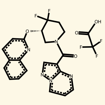 O=C(O)C(F)(F)F.O=C(c1cnn2cccnc12)N1CCC(F)(F)[C@@H](Oc2ccc3ccccc3n2)C1